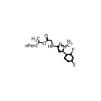 CCCCCC(C)OC(=O)CPc1cc(-c2ccc(F)cc2F)n(C)n1